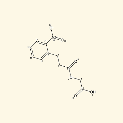 O=C(O)COC(=O)CCc1ccccc1[N+](=O)[O-]